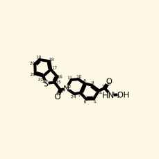 O=C(NO)c1ccc2c(c1)CCN(C(=O)c1cc3ccccc3s1)C2